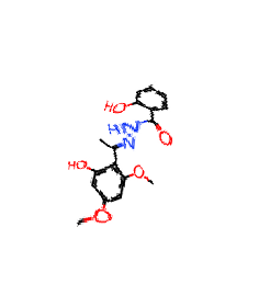 COc1cc(O)c(/C(C)=N/NC(=O)c2ccccc2O)c(OC)c1